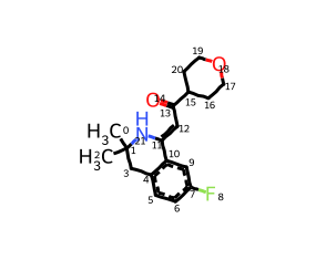 CC1(C)Cc2ccc(F)cc2/C(=C/C(=O)C2CCOCC2)N1